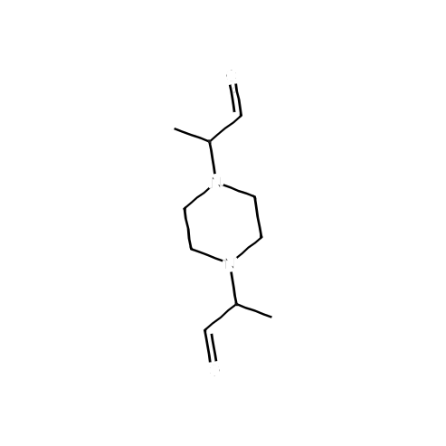 O=CC(I)N1CCN(C(I)C=O)CC1